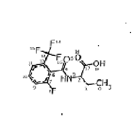 CCC(NC(=O)c1c(F)cccc1C(F)(F)F)C(=O)O